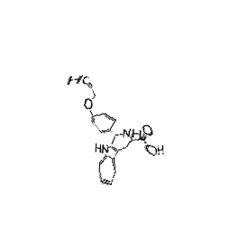 C#CCOc1ccc([C@@H]2N[C@@H](C(=O)O)Cc3c2[nH]c2ccccc32)cc1